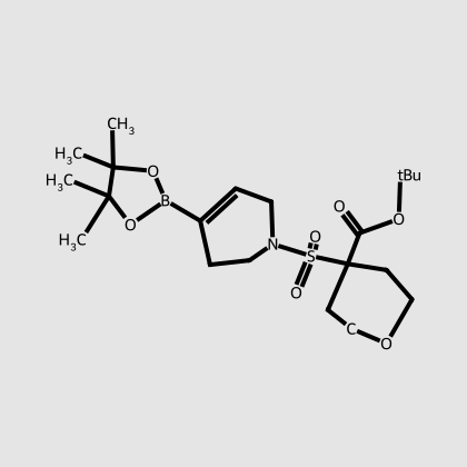 CC(C)(C)OC(=O)C1(S(=O)(=O)N2CC=C(B3OC(C)(C)C(C)(C)O3)CC2)CCOCC1